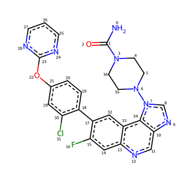 NC(=O)N1CCN(n2cnc3cnc4cc(F)c(-c5ccc(Oc6ncccn6)cc5Cl)cc4c32)CC1